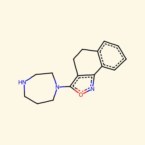 c1ccc2c(c1)CCc1c-2noc1N1CCCNCC1